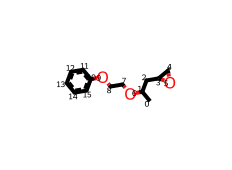 CC(CC1CO1)OCCOc1ccccc1